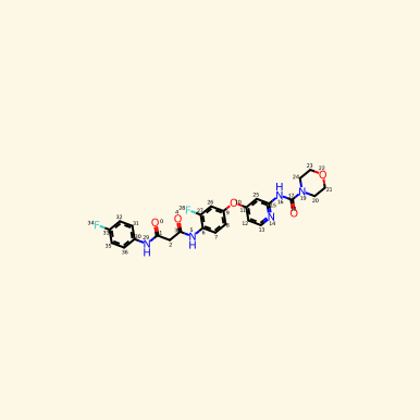 O=C(CC(=O)Nc1ccc(Oc2ccnc(NC(=O)N3CCOCC3)c2)cc1F)Nc1ccc(F)cc1